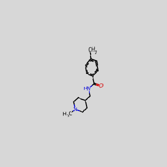 Cc1ccc(C(=O)NCC2CCN(C)CC2)cc1